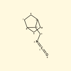 O=C=NCC1C2CCC1CC2